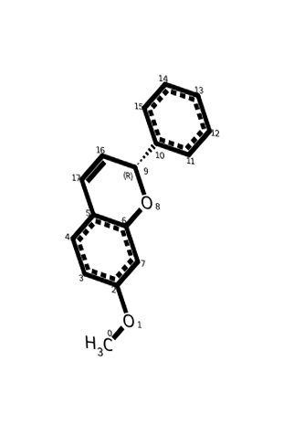 COc1ccc2c(c1)O[C@@H](c1ccccc1)C=C2